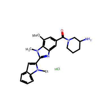 CCn1c(-c2nc3cc(C(=O)N4CCCC(N)C4)cc(OC)c3n2C)cc2ccccc21.Cl